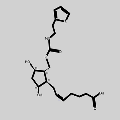 O=C(O)CCC/C=C\C[C@@H]1[C@@H](COC(=O)NCCc2cccs2)[C@H](O)C[C@@H]1O